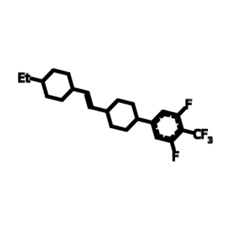 CCC1CCC(C=CC2CCC(c3cc(F)c(C(F)(F)F)c(F)c3)CC2)CC1